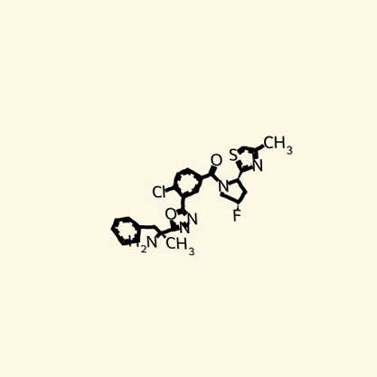 Cc1csc([C@H]2C[C@H](F)CN2C(=O)c2ccc(Cl)c(-c3nnc([C@](C)(N)Cc4ccccc4)o3)c2)n1